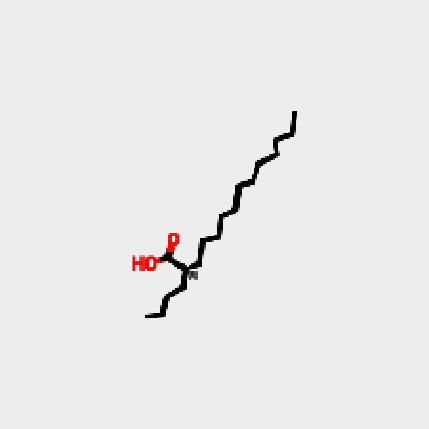 CCCCCCC=CCCCC[C@@H](CCCC)C(=O)O